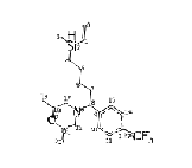 C=C[SiH](C)CCCCC(c1ccc(C(F)(F)F)cc1)N1CC(C)OC(C)C1